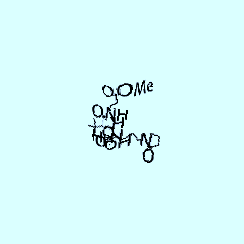 COC(=O)CCNC(=O)[C@@H]1O[PH](O)(NCCCN2CCCC2=O)OCC1(C)C